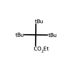 CCOC(=O)C(C(C)(C)C)(C(C)(C)C)C(C)(C)C